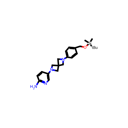 CC(C)(C)[Si](C)(C)OCc1ccc(N2CC3(C2)CN(c2ccc(N)nc2)C3)cc1